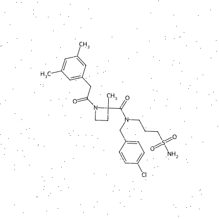 Cc1cc(C)cc(CC(=O)N2CCC2(C)C(=O)N(CCCS(N)(=O)=O)Cc2ccc(Cl)cc2)c1